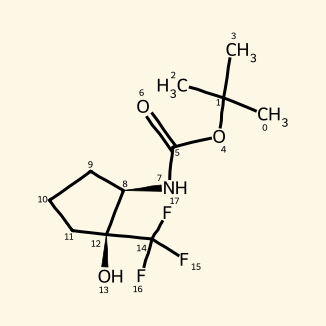 CC(C)(C)OC(=O)N[C@@H]1CCC[C@@]1(O)C(F)(F)F